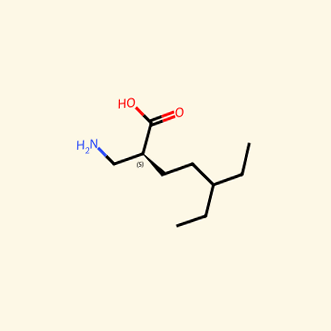 CCC(CC)CC[C@@H](CN)C(=O)O